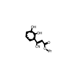 CC(C)OC(=O)C=C(C#N)c1cccc(O)c1O